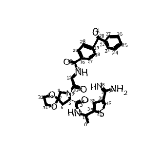 CC(NC(=O)[C@@H]1CC2(CN1C(=O)CNC(=O)c1ccc(C(=O)c3ccccc3)cc1)OCCO2)c1cc(C(=N)N)cs1